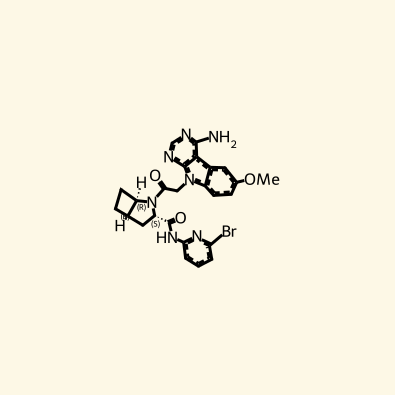 COc1ccc2c(c1)c1c(N)ncnc1n2CC(=O)N1[C@@H]2CC[C@@H]2C[C@H]1C(=O)Nc1cccc(Br)n1